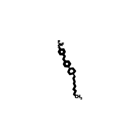 CCCCCCCCC[C@H]1CC[C@H](c2ccc(CCc3ccc(SC(F)F)cc3)cc2)CC1